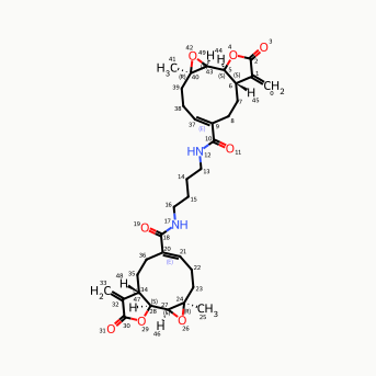 C=C1C(=O)O[C@H]2[C@H]1CC/C(C(=O)NCCCCNC(=O)/C1=C/CC[C@@]3(C)O[C@H]3[C@H]3OC(=O)C(=C)[C@@H]3CC1)=C\CC[C@@]1(C)O[C@@H]21